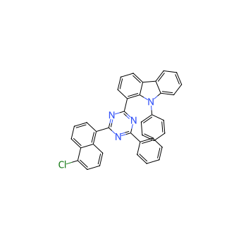 Clc1cccc2c(-c3nc(-c4ccccc4)nc(-c4cccc5c6ccccc6n(-c6ccccc6)c45)n3)cccc12